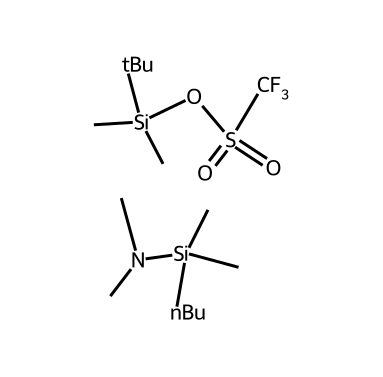 CC(C)(C)[Si](C)(C)OS(=O)(=O)C(F)(F)F.CCCC[Si](C)(C)N(C)C